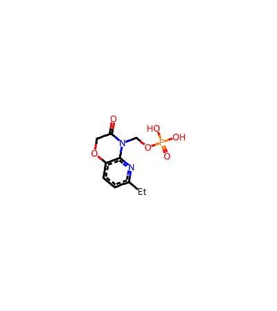 CCc1ccc2c(n1)N(COP(=O)(O)O)C(=O)CO2